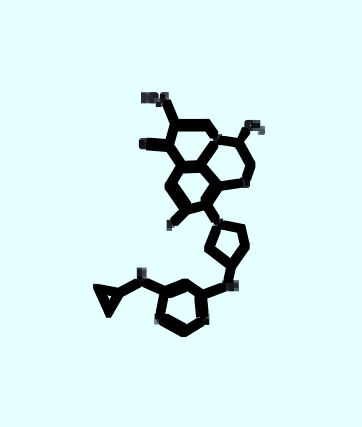 C[C@H]1COc2c(N3CCC(Nc4cc(NC5CC5)ncn4)C3)c(F)cc3c(=O)c(C(=O)O)cn1c23